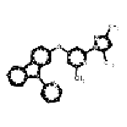 Cc1cc(Oc2ccc3c4ccccc4n(-c4ccccn4)c3c2)cc(-n2nc(C)cc2C)n1